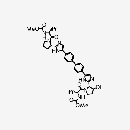 COC(=O)NC(C(=O)N1CCC[C@H]1c1ncc(-c2ccc(-c3ccc(-c4cnc([C@@H]5[C@@H](O)CCN5C(=O)[C@@H](NC(=O)OC)C(C)C)[nH]4)cc3)cc2)[nH]1)C(C)C